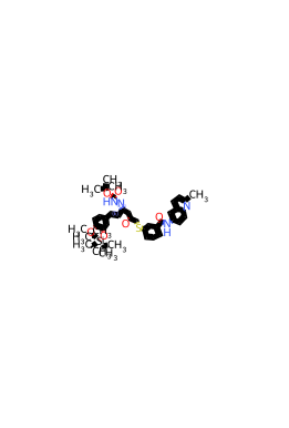 COc1ccc(/C=C/C(CC(=O)CSc2cccc(C(=O)Nc3ccc4nc(C)ccc4c3)c2)=N\NC(=O)OC(C)(C)C)cc1O[Si](C(C)C)(C(C)C)C(C)C